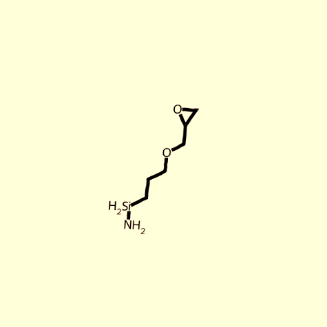 N[SiH2]CCCOCC1CO1